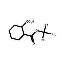 CCC(P)(CC)OC(=O)C1CCCCC1C(=O)O